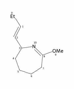 CCC=CC1CCCCC(OC)=N1